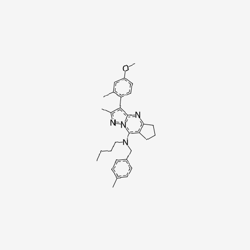 CCCCN(Cc1ccc(C)cc1)c1c2c(nc3c(-c4ccc(OC)cc4C)c(C)nn13)CCC2